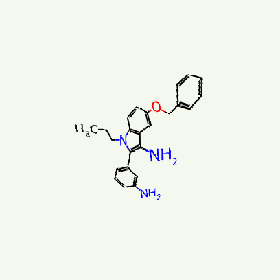 CCCn1c(-c2cccc(N)c2)c(N)c2cc(OCc3ccccc3)ccc21